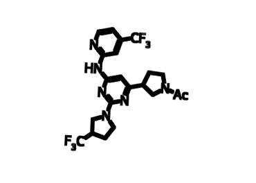 CC(=O)N1CCC(c2cc(Nc3cc(C(F)(F)F)ccn3)nc(N3CCC(C(F)(F)F)C3)n2)C1